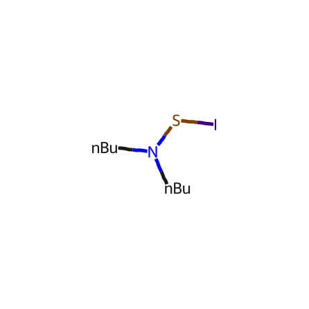 CCCCN(CCCC)SI